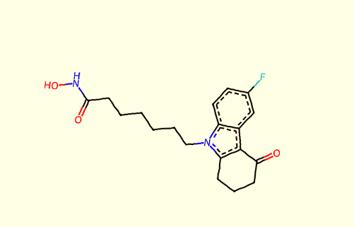 O=C(CCCCCCn1c2c(c3cc(F)ccc31)C(=O)CCC2)NO